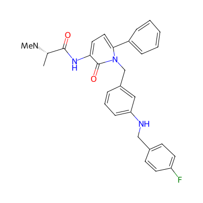 CN[C@@H](C)C(=O)Nc1ccc(-c2ccccc2)n(Cc2cccc(NCc3ccc(F)cc3)c2)c1=O